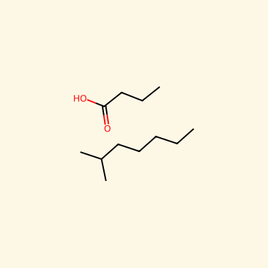 CCCC(=O)O.CCCCCC(C)C